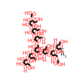 CC1OC(CO)C(O)C(OC2OC(COCC(=O)O)C(O)C(OC3OC(CO)C(O)C(OC4OC(COC5OC(CO)C(O)C(OC6OC(CO)C(O)C(OC7OC(CO)C(OCC(=O)O)C(O)C7O)C6O)[C@@H]5O)C(O)C(OC5OC(CO)C(O)C(OC6OC(CO)C(O)C(O)C6O)C5O)C4O)C3O)C2O)C1O